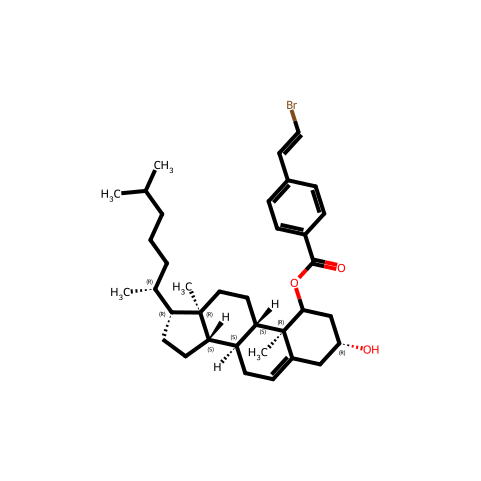 CC(C)CCC[C@@H](C)[C@H]1CC[C@H]2[C@@H]3CC=C4C[C@@H](O)CC(OC(=O)c5ccc(C=CBr)cc5)[C@]4(C)[C@H]3CC[C@]12C